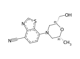 C[C@@H]1CN(c2ccc(C#N)c3ncsc23)C[C@H](CO)O1